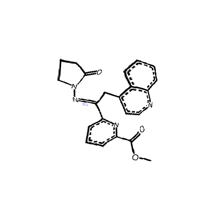 COC(=O)c1cccc(/C(Cc2ccnc3ccccc23)=N/N2CCCC2=O)n1